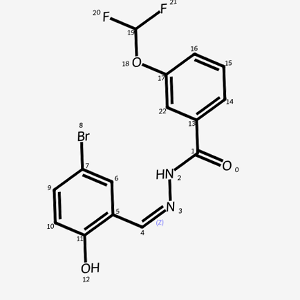 O=C(N/N=C\c1cc(Br)ccc1O)c1cccc(OC(F)F)c1